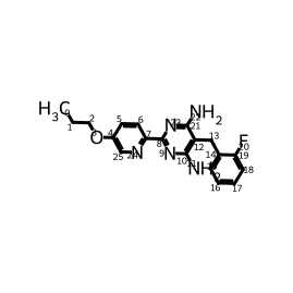 CCCOc1ccc(-c2nc(N)c(Cc3ccccc3F)c(N)n2)nc1